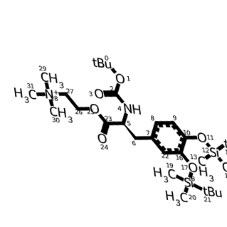 CC(C)(C)OC(=O)N[C@@H](Cc1ccc(O[Si](C)(C)C(C)(C)C)c(O[Si](C)(C)C(C)(C)C)c1)C(=O)OCC[N+](C)(C)C